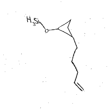 C=CCCCC1CC1O[SiH3]